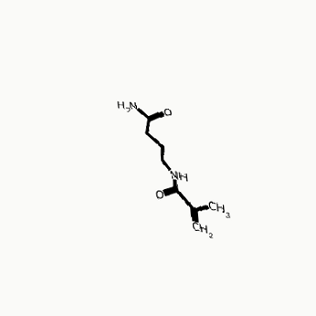 C=C(C)C(=O)NCCCC(N)=O